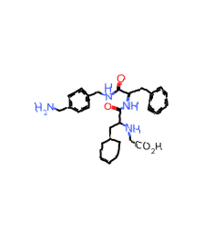 NCc1ccc(CNC(=O)C(Cc2ccccc2)NC(=O)C(CC2CCCCC2)NCC(=O)O)cc1